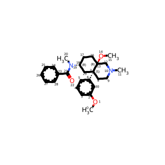 COc1cccc([C@@]23CCN(C)C[C@@]2(OC)CC[C@@H](N(C)C(=O)c2ccccc2)C3)c1